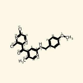 COc1ccc(CNc2cc(C(=O)c3ncc(Cl)nc3Cl)c(C)cn2)cc1